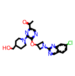 CC(=O)c1cnc(OC2CN(c3ncc4ccc(Cl)cc4n3)C2)c(N2CCC(CO)CC2)n1